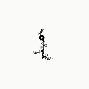 COC(=O)C(C)CCC(CNC(=O)OCc1ccc(N=[N+]=[N-])cc1)SSC